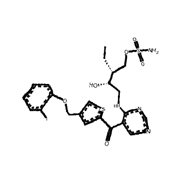 CC[C@H](COS(N)(=O)=O)[C@@H](O)CNc1ncncc1C(=O)c1cc(COc2ccccc2I)cs1